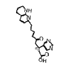 O=C(O)C[C@@H](CC(=O)CCCCc1ccc2c(n1)NCCC2)c1cncnc1